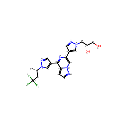 C[C@@H](CC(F)(F)F)n1cc(-c2nc(-c3cnn(C[C@@H](O)CO)c3)cn3nccc23)cn1